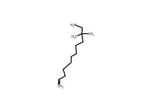 C=CCCCCCCCC(C)(C)CN